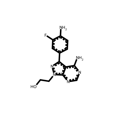 Nc1ccc(-c2nn(CCO)c3ncnc(N)c23)cc1F